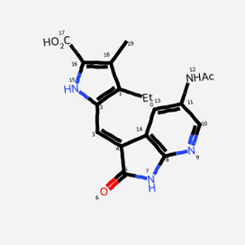 CCc1c(C=C2C(=O)Nc3ncc(NC(C)=O)cc32)[nH]c(C(=O)O)c1C